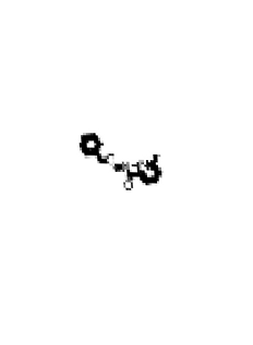 Cc1cccc(C(=O)NCOCc2ccccc2)n1